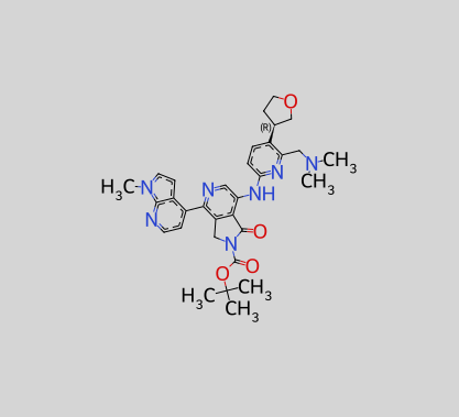 CN(C)Cc1nc(Nc2cnc(-c3ccnc4c3ccn4C)c3c2C(=O)N(C(=O)OC(C)(C)C)C3)ccc1[C@H]1CCOC1